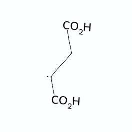 O=C(O)[CH]CC(=O)O